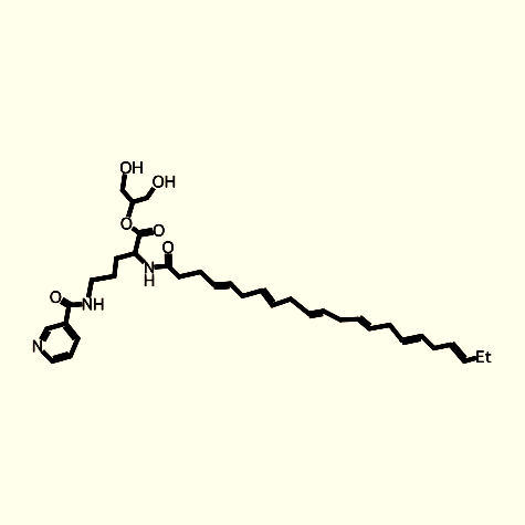 CCC=CCC=CCC=CCC=CCC=CCC=CCCC(=O)NC(CCCNC(=O)c1cccnc1)C(=O)OC(CO)CO